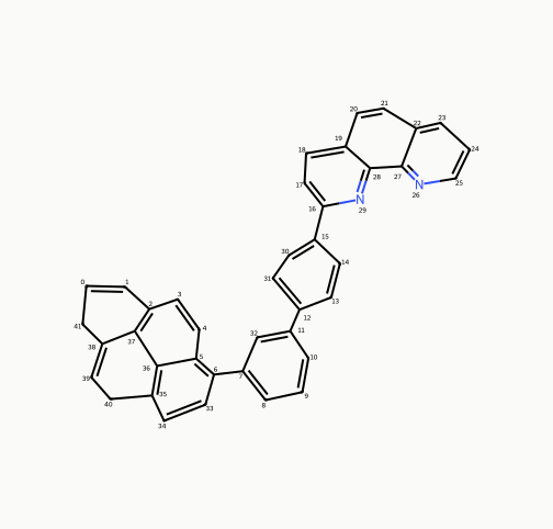 C1=Cc2ccc3c(-c4cccc(-c5ccc(-c6ccc7ccc8cccnc8c7n6)cc5)c4)ccc4c3c2C(=CC4)C1